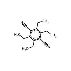 CCc1c(C#N)c(CC)c(CC)c(C#N)c1CC